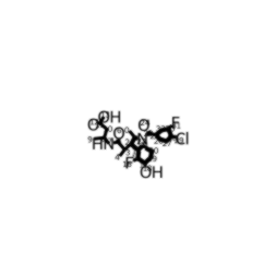 Cc1c(C(C)C(=O)NC(C)CC(=O)O)c2c(F)c(O)ccc2n1C(=O)c1ccc(Cl)c(F)c1